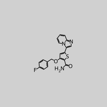 NC(=O)c1sc(-c2cnc3ccccn23)cc1OCc1ccc(F)cc1